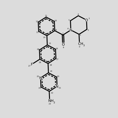 CC1COCCN1C(=O)c1ccccc1-c1ccc(-c2cnc(N)cn2)c(F)c1